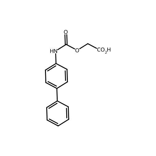 O=C(O)COC(=O)Nc1ccc(-c2ccccc2)cc1